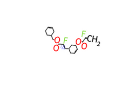 C=C(F)C(=O)OC1C=CCC(/C=C(\F)C(=O)OCC2CC=CCC2)C1